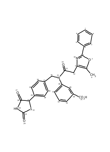 Cc1oc(-c2ccccc2)nc1CC(=O)N(Cc1ccc(C2SC(=O)NC2=O)cc1)c1cccc(C(=O)O)c1